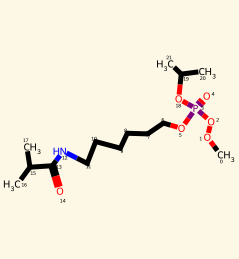 COOP(=O)(OCCCCCCNC(=O)C(C)C)OC(C)C